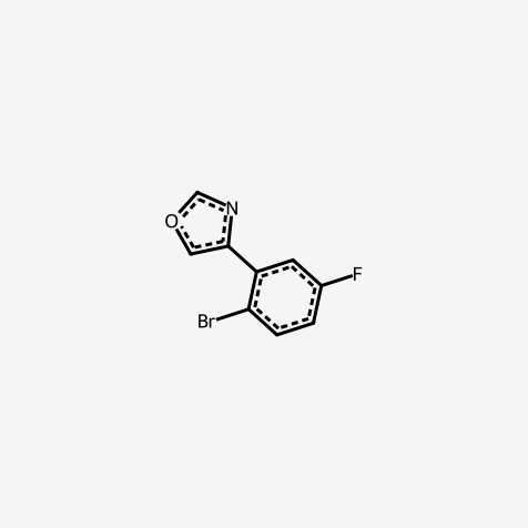 Fc1ccc(Br)c(-c2cocn2)c1